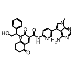 Cn1cc(-c2ccc(NC(=O)c3cc4c(n(C(CO)c5ccccc5)c3=O)CCCC4=O)nc2)c2c(N)ncnc21